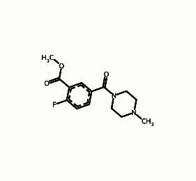 COC(=O)c1cc(C(=O)N2CCN(C)CC2)ccc1F